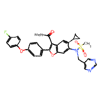 CNC(=O)c1c(-c2ccc(Oc3ccc(F)cc3)cc2)oc2cc(N(Cc3cncnc3)S(C)(=O)=O)c(C3CC3)cc12